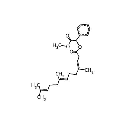 COC(=O)[C@H](OC(=O)C/C=C(\C)CC/C=C(\C)CCC=C(C)C)c1ccccc1